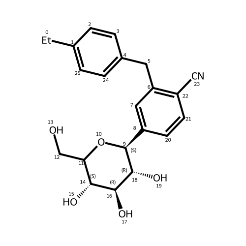 CCc1ccc(Cc2cc([C@@H]3OC(CO)[C@@H](O)[C@H](O)[C@H]3O)ccc2C#N)cc1